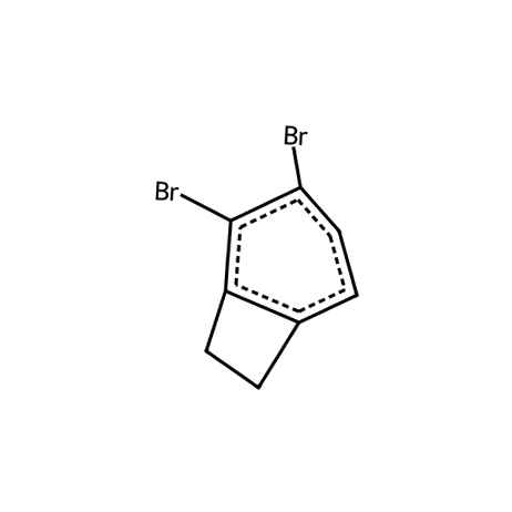 Brc1ccc2c(c1Br)CC2